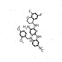 [C-]#[N+]c1ccc(NCc2ccc(OC)cc2OC)c(Nc2ncc(N)c(NC3CCOc4c(F)cc(F)cc43)n2)c1